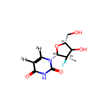 [2H]c1c([2H])n([C@@H]2O[C@H](CO)C(O)[C@@]2(C)F)c(=O)[nH]c1=O